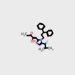 C=CC(=O)/C(O)=C/c1ncc(C(F)C(=C)C)n1CCC(c1ccccc1)c1ccccc1